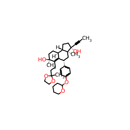 CC#C[C@]1(O)CC[C@H]2[C@@H]3CC[C@](C)(O)C(CCC4(C)OCCO4)=C3[C@@H](c3ccc(OC4CCCCO4)cc3)C[C@@]21C